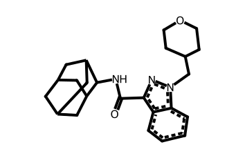 O=C(NC1C2CC3CC(C2)CC1C3)c1nn(CC2CCOCC2)c2ccccc12